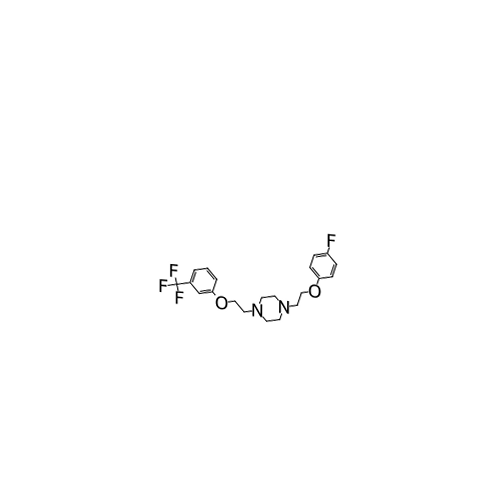 Fc1ccc(OCCN2CCN(CCOc3cccc(C(F)(F)F)c3)CC2)cc1